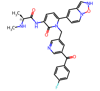 CN[C@@H](C)C(=O)Nc1ccc(C2=CC3=CNON3C=C2)n(Cc2cncc(C(=O)c3ccc(F)cc3)c2)c1=O